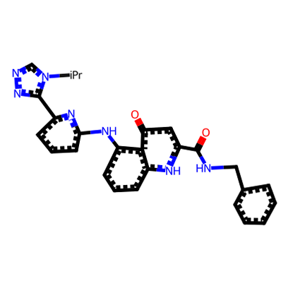 CC(C)n1cnnc1-c1cccc(Nc2cccc3[nH]c(C(=O)NCc4ccccc4)cc(=O)c23)n1